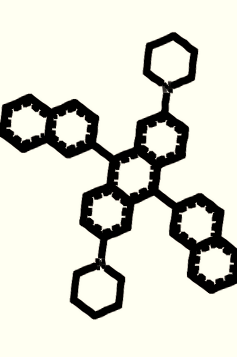 c1ccc2cc(-c3c4ccc(N5CCCCC5)cc4c(-c4ccc5ccccc5c4)c4ccc(N5CCCCC5)cc34)ccc2c1